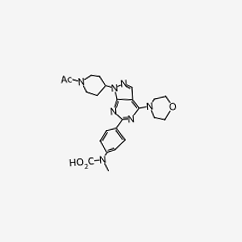 CC(=O)N1CCC(n2ncc3c(N4CCOCC4)nc(-c4ccc(N(C)C(=O)O)cc4)nc32)CC1